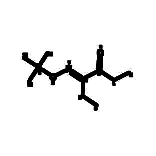 CCC(=O)/C(CC)=N/O[Si](C)(C)C